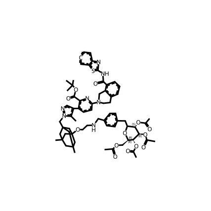 CC(=O)OC[C@H]1OC(Cc2ccc(CNCCOC34CC5(C)CC(C)(CC(Cn6ncc(-c7ccc(N8CCc9cccc(C(=O)Nc%10nc%11ccccc%11s%10)c9C8)nc7C(=O)OC(C)(C)C)c6C)(C5)C3)C4)cc2)[C@H](OC(C)=O)[C@@H](OC(C)=O)[C@@H]1OC(C)=O